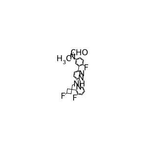 CN(C=O)c1ccc(F)c(-c2ccc(NCC3(c4ncccc4F)CC(F)C3)nn2)c1